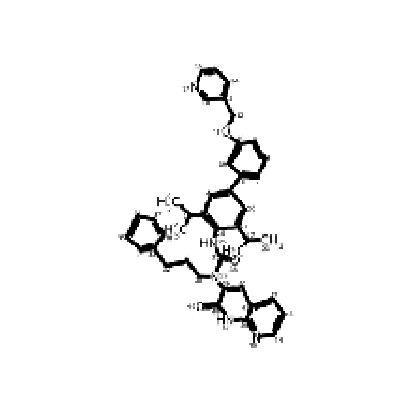 CC(C)c1cc(-c2cccc(OCc3cccnc3)c2)cc(C(C)C)c1NC(=O)N(CCCc1ccccc1)c1cc2cccnc2[nH]c1=O